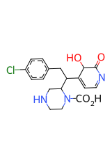 O=C1N=CC=C(C(Cc2ccc(Cl)cc2)C2CNCCN2C(=O)O)C1O